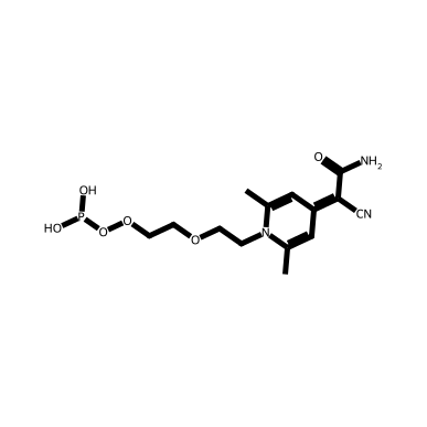 CC1=CC(=C(C#N)C(N)=O)C=C(C)N1CCOCCOOP(O)O